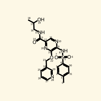 Cc1ccc(S(=O)(=O)Nc2ncc(C(=O)NCC(C)O)nc2OCc2cccnc2)cc1